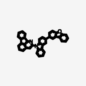 c1ccc2c(c1)-c1cccc3cc(-n4c5ccccc5c5cc(-c6ccc7oc8ccccc8c7c6)ccc54)nc-2c13